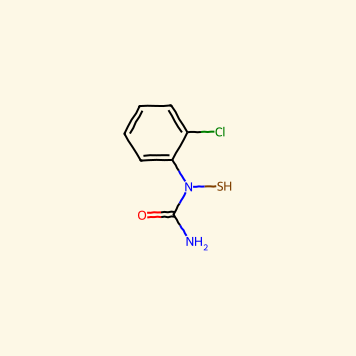 NC(=O)N(S)c1ccccc1Cl